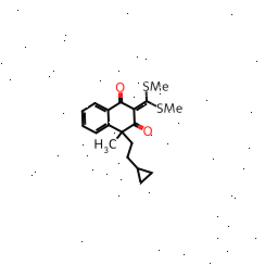 CSC(SC)=C1C(=O)c2ccccc2C(C)(CCC2CC2)C1=O